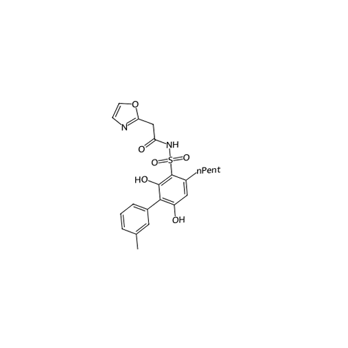 CCCCCc1cc(O)c(-c2cccc(C)c2)c(O)c1S(=O)(=O)NC(=O)Cc1ncco1